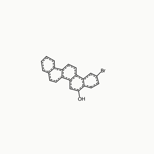 Oc1cc2c(ccc3c4ccccc4ccc32)c2cc(Br)ccc12